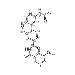 COc1cccc([C@@H](C)NC(=O)c2ccc3c(c2)COc2cnc(NC(C)=O)cc2-3)c1